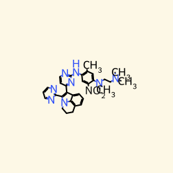 Cc1cc(N(C)CCN(C)C)c([N+](=O)[O-])cc1Nc1nccc(-c2c(-c3ncccn3)n3c4c(cccc24)CCC3)n1